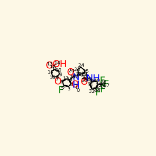 COc1cc(F)c(O[C@H]2CC[C@@H](C(=O)O)CC2)cc1C(=O)N[C@@H]1CCC[C@@H]1C(=O)Nc1ccc(F)c(C(F)(F)F)c1